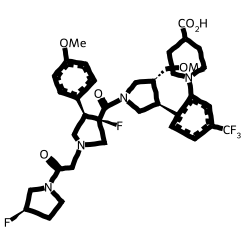 COC[C@H]1CN(C(=O)[C@]2(F)CN(CC(=O)N3CC[C@@H](F)C3)C[C@H]2c2ccc(OC)cc2)C[C@@H]1c1ccc(C(F)(F)F)cc1N1CCC(C(=O)O)CC1